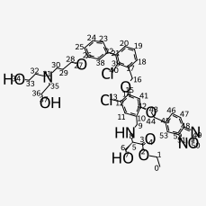 CCOC(=O)[C@@H](CO)NCc1cc(Cl)c(OCc2cccc(-c3cccc(OCCCN(CCO)CCO)c3)c2Cl)cc1OCc1ccc2nonc2c1